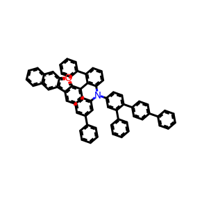 c1ccc(-c2ccc(-c3ccc(N(c4cccc(-c5ccccc5)c4)c4cccc(-c5ccccc5)c4-c4cccc5c4oc4cc6ccccc6cc45)cc3-c3ccccc3)cc2)cc1